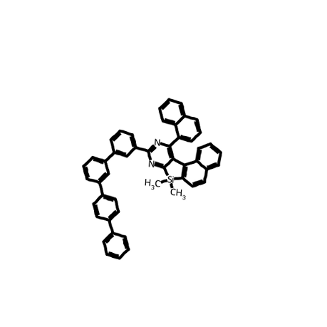 C[Si]1(C)c2ccc3ccccc3c2-c2c(-c3cccc4ccccc34)nc(-c3cccc(-c4cccc(-c5ccc(-c6ccccc6)cc5)c4)c3)nc21